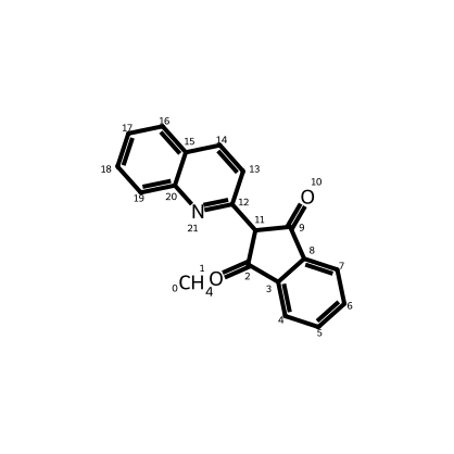 C.O=C1c2ccccc2C(=O)C1c1ccc2ccccc2n1